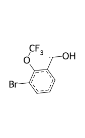 O[CH]c1cccc(Br)c1OC(F)(F)F